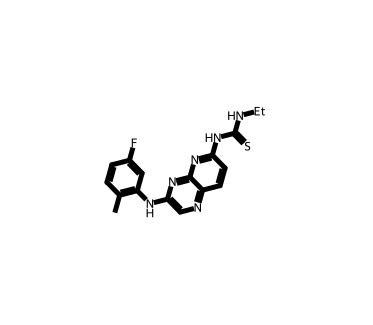 CCNC(=S)Nc1ccc2ncc(Nc3cc(F)ccc3C)nc2n1